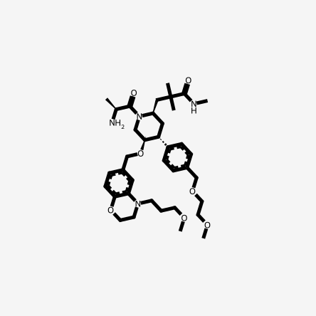 CNC(=O)C(C)(C)C[C@H]1C[C@H](c2ccc(COCCOC)cc2)[C@@H](OCc2ccc3c(c2)N(CCCOC)CCO3)CN1C(=O)[C@H](C)N